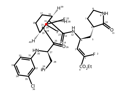 CCOC(=O)/C(F)=C/[C@H](C[C@@H]1CCNC1=O)NC(=O)[C@@H]1[C@@H]2CC[C@@H](CC2(F)F)N1C(=O)[C@@H](CC(C)C)Nc1cccc(Cl)c1